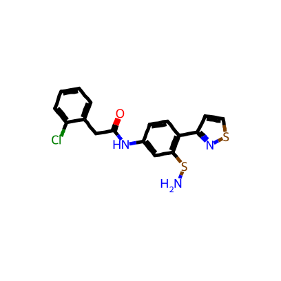 NSc1cc(NC(=O)Cc2ccccc2Cl)ccc1-c1ccsn1